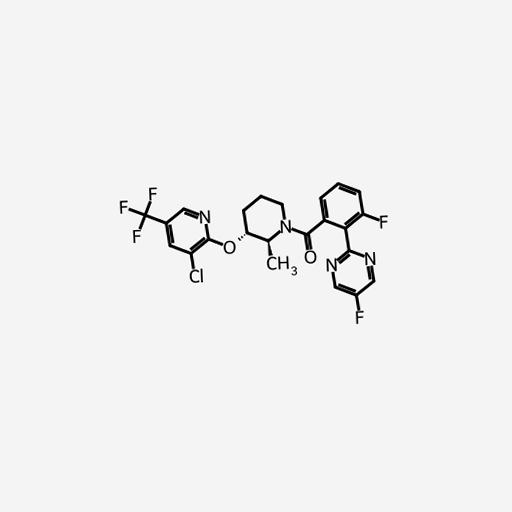 C[C@H]1[C@H](Oc2ncc(C(F)(F)F)cc2Cl)CCCN1C(=O)c1cccc(F)c1-c1ncc(F)cn1